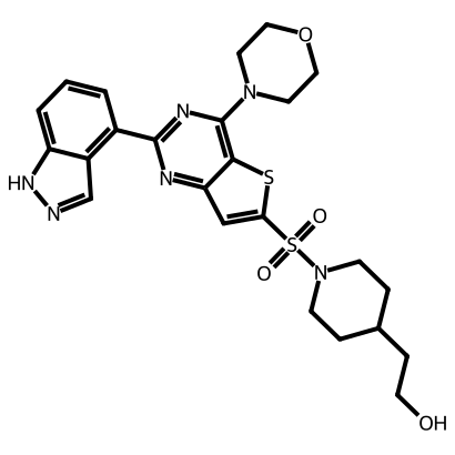 O=S(=O)(c1cc2nc(-c3cccc4[nH]ncc34)nc(N3CCOCC3)c2s1)N1CCC(CCO)CC1